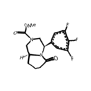 COC(=O)N1C[C@@H]2CCCC(=O)N2[C@H](c2cc(F)c(F)c(F)c2)C1